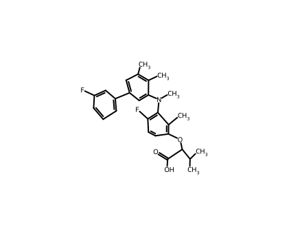 Cc1cc(-c2cccc(F)c2)cc(N(C)c2c(F)ccc(OC(C(=O)O)C(C)C)c2C)c1C